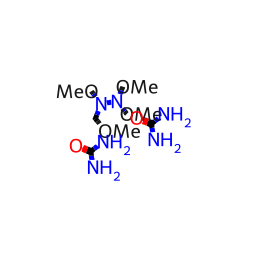 COCN(OC)N(OC)OC.NC(N)=O.NC(N)=O